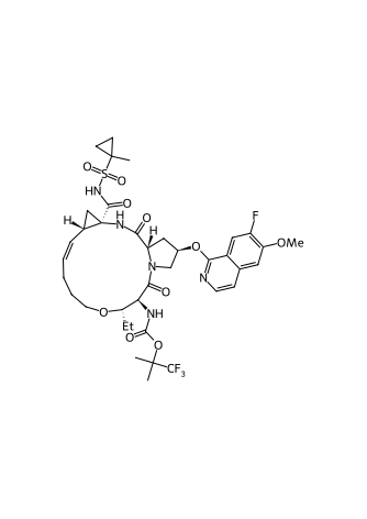 CC[C@@H]1OCCC/C=C\[C@@H]2C[C@@]2(C(=O)NS(=O)(=O)C2(C)CC2)NC(=O)[C@@H]2C[C@@H](Oc3nccc4cc(OC)c(F)cc34)CN2C(=O)[C@H]1NC(=O)OC(C)(C)C(F)(F)F